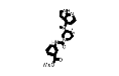 COC(=O)c1cccc(NC(=O)N2CC[C@@H](C)C(N(C)c3ccnc4[nH]ccc34)C2)c1